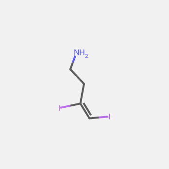 NCC/C(I)=C\I